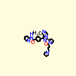 Cc1nccn2c([C@@H]3CCCN3C(=O)C=CCN3CCCC3)nc(-c3ccc(C(=O)Nc4ccccn4)cc3)c12